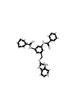 O=C(Oc1cc(CSc2nc3ccncc3[nH]2)cc(OC(=O)c2ccccc2)c1)c1ccccc1